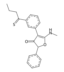 CCCC(=S)c1cccc(C2=C(NC)OC(c3ccccc3)C2=O)c1